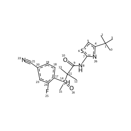 CC(C)(C)c1csc(NC(=O)C(C)(C)[SH](C)(=O)c2ccc(C#N)cc2F)n1